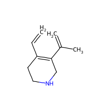 C=CC1=C(C(=C)C)CNCC1